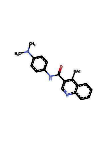 CC(=O)Oc1c(C(=O)Nc2ccc(N(C)C)cc2)cnc2ccccc12